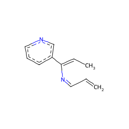 C=C/C=N\C(=C/C)c1cccnc1